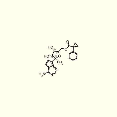 C[C@@]1(c2ccc3c(N)ncnn23)O[C@H](COC(=O)C2(c3ccccc3)CC2)[C@@H](O)[C@H]1O